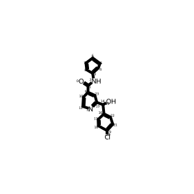 O=C(Nc1ccccc1)c1ccnc(C(O)c2ccc(Cl)cc2)c1